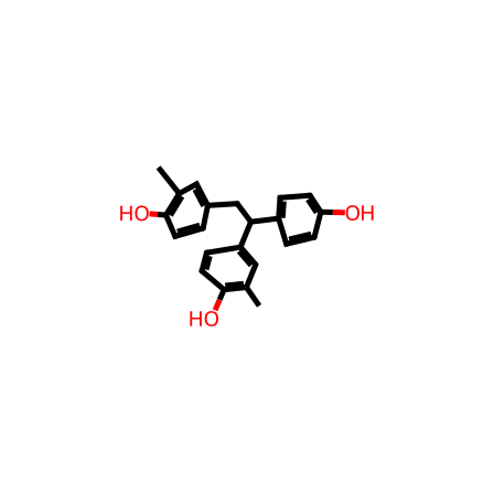 Cc1cc(CC(c2ccc(O)cc2)c2ccc(O)c(C)c2)ccc1O